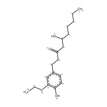 CCCCCC(O)CC(=O)CCc1ccc(O)c(OCC)c1